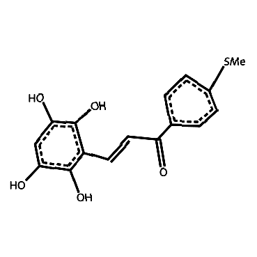 CSc1ccc(C(=O)C=Cc2c(O)c(O)cc(O)c2O)cc1